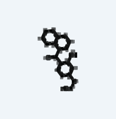 CCCCCCCCOc1ccc(C(=O)c2cccc3ccccc23)c(O)c1